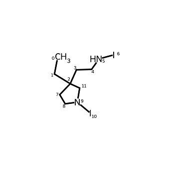 CCC1(CCNI)CCN(I)C1